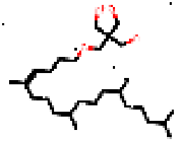 CC(=CCCCOCC(CO)(CO)CO)CCCC(C)CCCC(C)CCCC(C)C